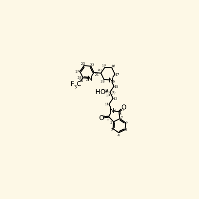 O=C1c2ccccc2C(=O)N1CC[C@@H](O)CN1CCCC(c2cccc(C(F)(F)F)n2)C1